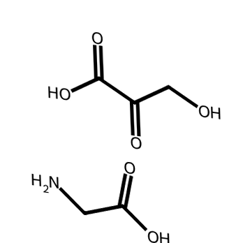 NCC(=O)O.O=C(O)C(=O)CO